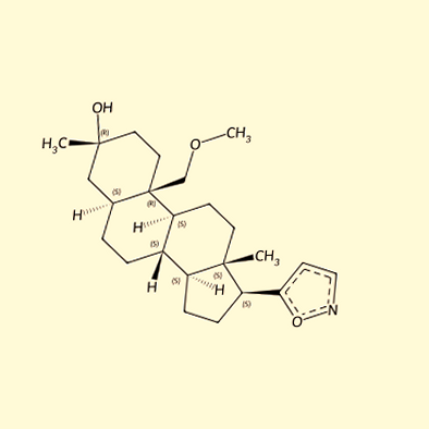 COC[C@]12CC[C@@](C)(O)C[C@@H]1CC[C@H]1[C@@H]3CC[C@H](c4ccno4)[C@@]3(C)CC[C@@H]12